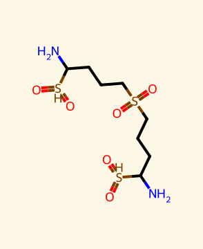 NC(CCCS(=O)(=O)CCCC(N)[SH](=O)=O)[SH](=O)=O